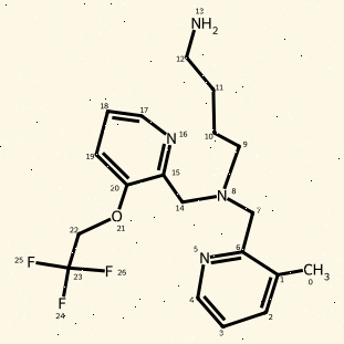 Cc1cccnc1CN(CCCCN)Cc1ncccc1OCC(F)(F)F